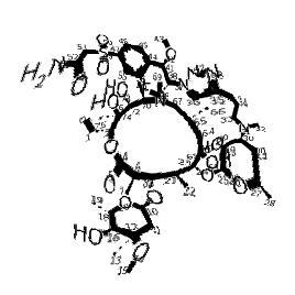 CC[C@H]1OC(=O)[C@H](C)[C@@H](O[C@H]2C[C@@](C)(OC)[C@@H](O)[C@H](C)O2)[C@H](C)[C@@H](O[C@@H]2O[C@H](C)C[C@H](N(C)CCc3cn([C@H](CF)[C@H](OC)c4ccc(S(=O)(=O)CC(N)=O)cc4)nn3)[C@H]2O)[C@](C)(O)C[C@@H](C)CN(C)[C@H](C)[C@@H](O)[C@]1(C)O